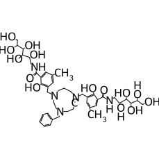 Cc1cc(CN2CCCN(Cc3ccccc3)CCN(Cc3cc(C)cc(C(=O)NCC(O)C(O)C(O)C(O)CO)c3O)CCC2)c(O)c(C(=O)NCC(O)C(O)C(O)C(O)CO)c1